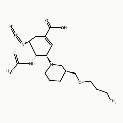 CCCCOC[C@H]1CCCN([C@@H]2C=C(C(=O)O)C[C@H](N=[N+]=[N-])[C@H]2NC(C)=O)C1